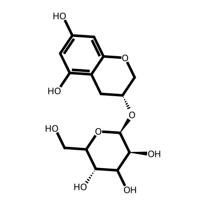 OCC1O[C@@H](O[C@H]2COc3cc(O)cc(O)c3C2)[C@@H](O)C(O)[C@@H]1O